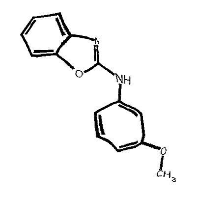 COc1cccc(Nc2nc3ccccc3o2)c1